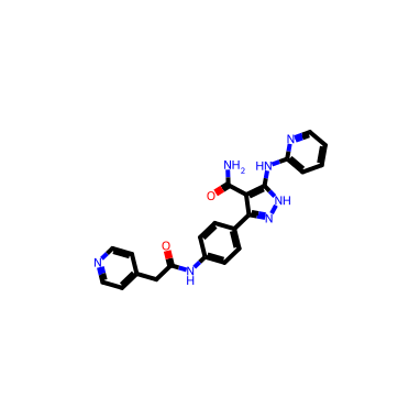 NC(=O)c1c(-c2ccc(NC(=O)Cc3ccncc3)cc2)n[nH]c1Nc1ccccn1